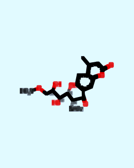 CC(=O)N[C@@H](C(=O)c1ccc2c(C)cc(=O)oc2c1)[C@@H](O)[C@H](O)[C@H](O)COS(=O)(=O)O